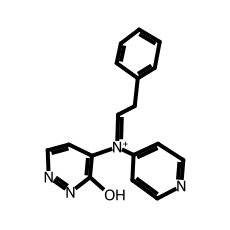 Oc1nnccc1[N+](=CCc1ccccc1)c1ccncc1